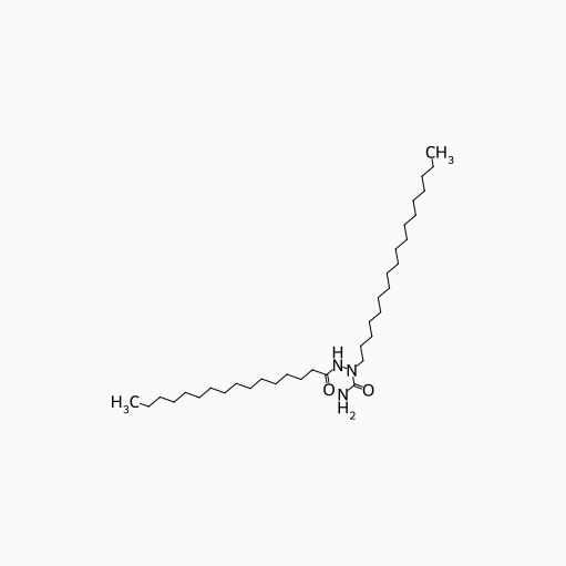 CCCCCCCCCCCCCCCCCCN(NC(=O)CCCCCCCCCCCCCCC)C(N)=O